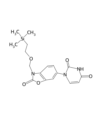 C[Si](C)(C)CCOCn1c(=O)oc2cc(-n3ccc(=O)[nH]c3=O)ccc21